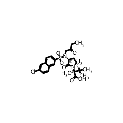 CCC(=O)CN([C@H]1CCN([C@](C)(C(=O)O)C(C)(C)C)C1=O)S(=O)(=O)c1ccc2cc(Cl)ccc2c1